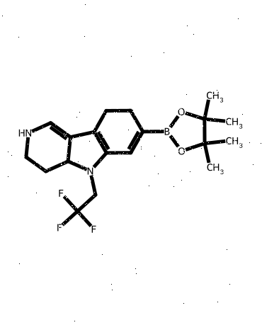 CC1(C)OB(C2=CC3=C(CC2)C2=CNCCC2N3CC(F)(F)F)OC1(C)C